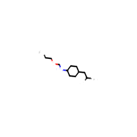 CCCC(CC)CC1CCC(NCOCCC(C)C)CC1